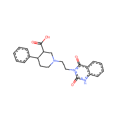 O=C(O)C1CN(CCn2c(=O)[nH]c3ccccc3c2=O)CCC1c1ccccc1